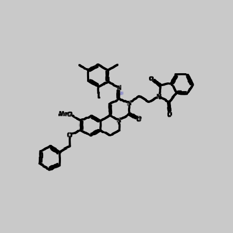 COc1cc2c(cc1OCc1ccccc1)CCn1c-2c/c(=N\c2c(C)cc(C)cc2C)n(CCN2C(=O)c3ccccc3C2=O)c1=O